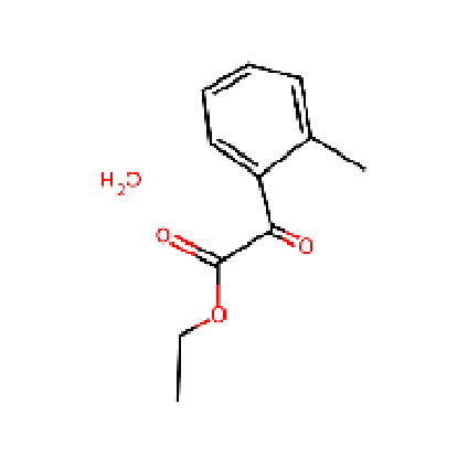 CCOC(=O)C(=O)c1ccccc1C.O